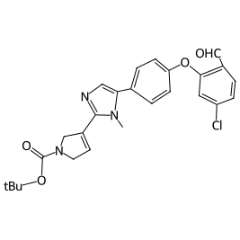 Cn1c(-c2ccc(Oc3cc(Cl)ccc3C=O)cc2)cnc1C1=CCN(C(=O)OC(C)(C)C)C1